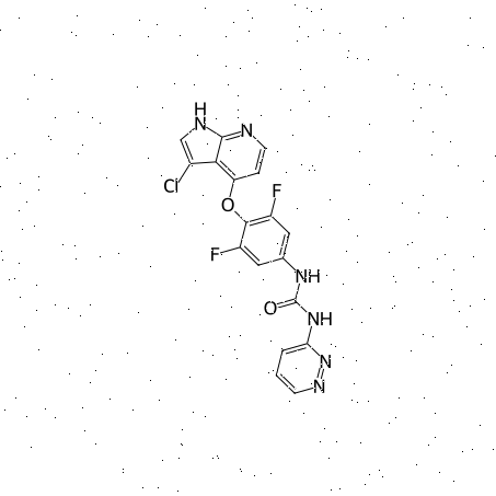 O=C(Nc1cc(F)c(Oc2ccnc3[nH]cc(Cl)c23)c(F)c1)Nc1cccnn1